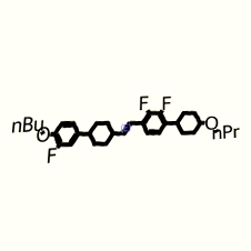 CCCCOc1ccc(C2CCC(/C=C/c3ccc(C4CCC(OCCC)CC4)c(F)c3F)CC2)cc1F